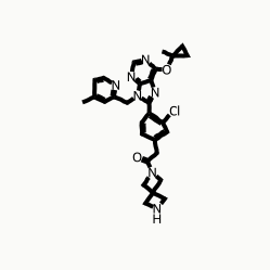 Cc1ccnc(Cn2c(-c3ccc(CC(=O)N4CC5(CNC5)C4)cc3Cl)nc3c(OC4(C)CC4)ncnc32)c1